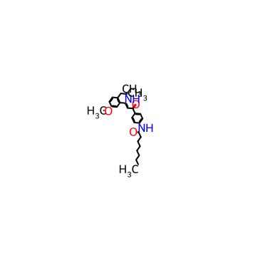 CCCCCCCCC(=O)Nc1ccc(C(=O)/C=C2\NC(C)(C)Cc3ccc(OC)cc32)cc1